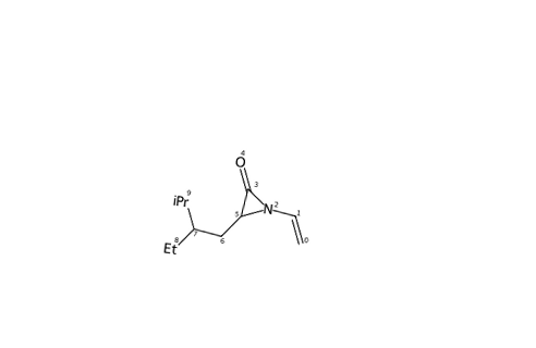 C=CN1C(=O)C1CC(CC)C(C)C